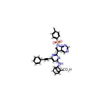 Cc1ccc(S(=O)(=O)n2cc(-c3nc(C#Cc4ccccc4)cc(NC4C5CCC(CC5)C4C(=O)O)n3)c3cncnc32)cc1